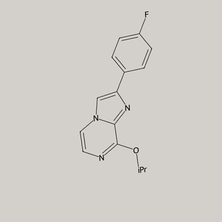 CC(C)Oc1nccn2cc(-c3ccc(F)cc3)nc12